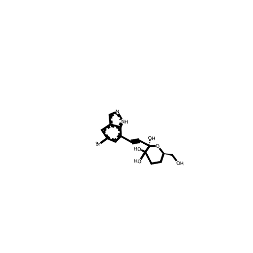 OC[C@H]1CCC(O)(O)[C@@](O)(C#Cc2cc(Br)cc3cn[nH]c23)O1